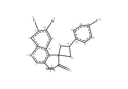 COC(=O)C1(c2c([N+](=O)[O-])cnc3cc(F)c(Br)cc23)CC(c2ccc(F)cc2)C1